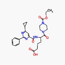 CCOC(=O)N1CCN(C(=O)C(CCCC(=O)O)NC(=O)c2cc(C3CC3)nc(-c3ccccc3)n2)CC1